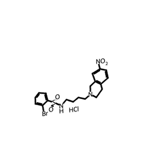 Cl.O=[N+]([O-])c1ccc2c(c1)CN(CCCCNS(=O)(=O)c1ccccc1Br)CC2